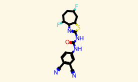 N#Cc1ccc(NC(=O)NC2=NC3C(F)CCC(F)CC3S2)cc1C#N